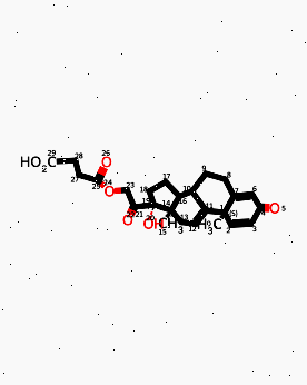 C[C@]12C=CC(=O)C=C1CCC1C2=CC[C@@]2(C)C1CC[C@]2(O)C(=O)COC(=O)CCC(=O)O